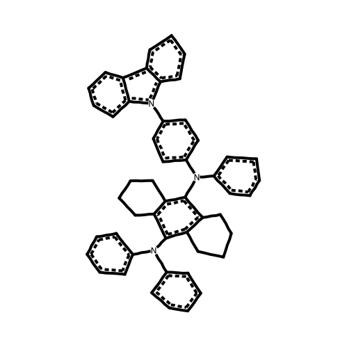 c1ccc(N(c2ccccc2)c2c3c(c(N(c4ccccc4)c4ccc(-n5c6ccccc6c6ccccc65)cc4)c4c2CCCC4)CCCC3)cc1